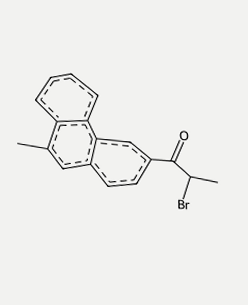 Cc1cc2ccc(C(=O)C(C)Br)cc2c2ccccc12